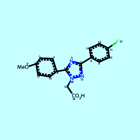 COc1ccc(-c2nc(-c3ccc(F)cc3)nn2CC(=O)O)cc1